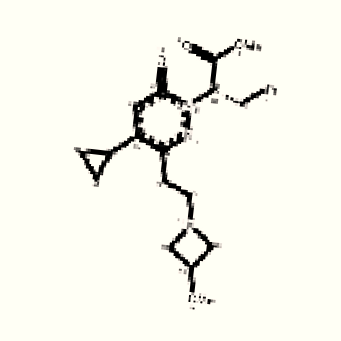 COC(=O)[C@H](CC(C)C)n1nc(CCN2CC(OC)C2)c(C2CC2)cc1=O